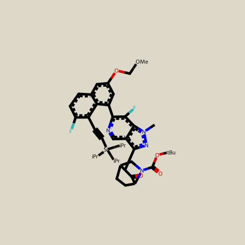 COCOc1cc(-c2ncc3c(C4C(=O)C5CCC4CN5C(=O)OC(C)(C)C)nn(C)c3c2F)c2c(C#C[Si](C(C)C)(C(C)C)C(C)C)c(F)ccc2c1